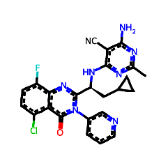 Cc1nc(N)c(C#N)c(N[C@@H](CC2CC2)c2nc3c(F)ccc(Cl)c3c(=O)n2-c2cccnc2)n1